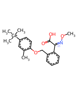 CO/N=C(\C(=O)O)c1ccccc1COc1cc[c]([Ge]([CH3])([CH3])[CH3])cc1C